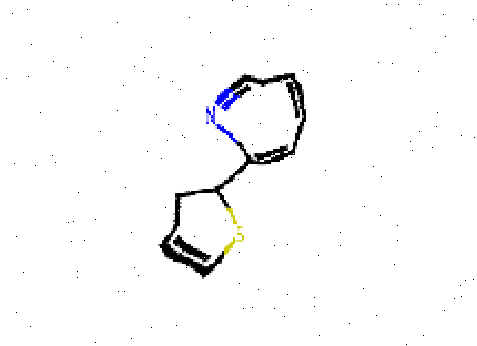 C1=CSC(c2ccccn2)C1